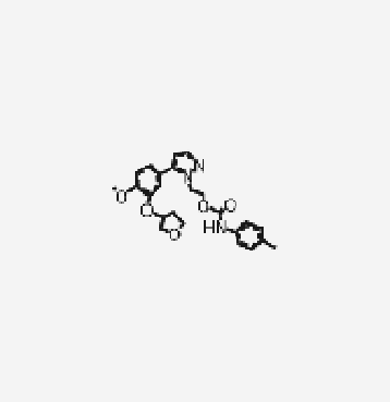 COc1ccc(-c2ccnn2CCOC(=O)Nc2ccc(C)cc2)cc1OC1CCOC1